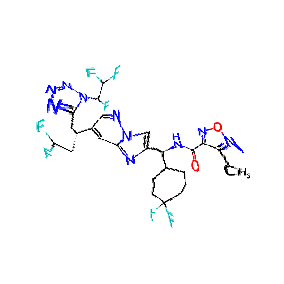 Cc1nonc1C(=O)N[C@H](c1cn2ncc([C@H](CC(F)F)c3nnnn3C(F)C(F)F)cc2n1)C1CCC(F)(F)CC1